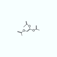 C=C(C)OC=C(OC(=C)C)OC(=C)C